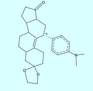 CN(C)c1ccc([C@H]2CC3C(=O)CCC3C3CCC4CC5(CCC4=C32)OCCO5)cc1